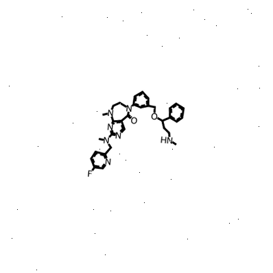 CNCCC(OCc1cccc(N2CCN(C)c3nc(N(C)Cc4ccc(F)cn4)ncc3C2=O)c1)c1ccccc1